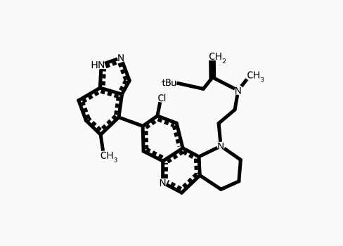 C=C(CC(C)(C)C)N(C)CCN1CCCc2cnc3cc(-c4c(C)ccc5[nH]ncc45)c(Cl)cc3c21